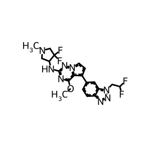 COc1nc(NC2CN(C)CC2(F)F)nn2ccc(-c3ccc4nnn(CC(F)F)c4c3)c12